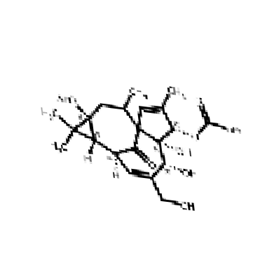 CCCC(=O)O[C@H]1C(C)=CC23C(=O)[C@@H](C=C(CO)[C@@H](O)[C@]12O)[C@@H]1C(C)(C)[C@]1(OC(C)=O)CC3C